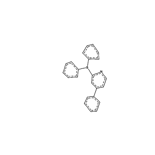 c1ccc(B(c2ccccc2)c2cc(-c3ccccc3)ccn2)cc1